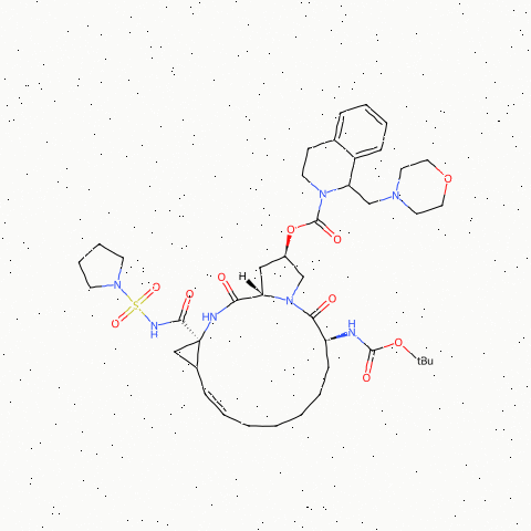 CC(C)(C)OC(=O)N[C@H]1CCCCC/C=C\C2C[C@@]2(C(=O)NS(=O)(=O)N2CCCC2)NC(=O)[C@@H]2C[C@@H](OC(=O)N3CCc4ccccc4C3CN3CCOCC3)CN2C1=O